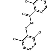 O=C(NOc1c(Cl)cccc1Cl)c1nccnc1Cl